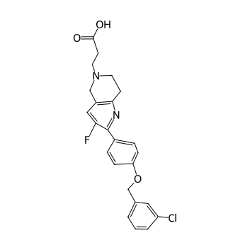 O=C(O)CCN1CCc2nc(-c3ccc(OCc4cccc(Cl)c4)cc3)c(F)cc2C1